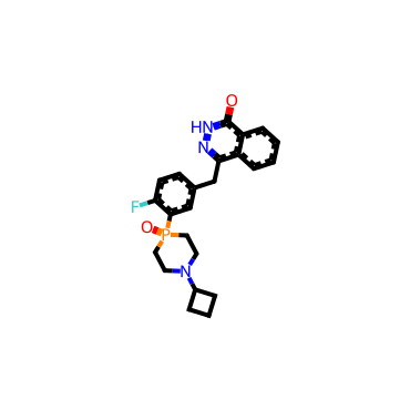 O=c1[nH]nc(Cc2ccc(F)c(P3(=O)CCN(C4CCC4)CC3)c2)c2ccccc12